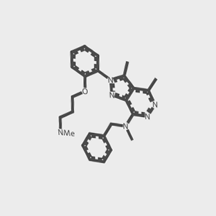 CNCCCOc1ccccc1-n1nc2c(N(C)Cc3ccccc3)nnc(C)c2c1C